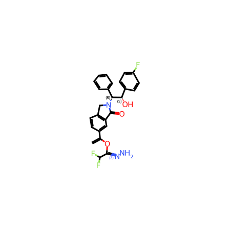 C=C(O/C(=N\N)C(F)F)c1ccc2c(c1)C(=O)N([C@H](c1ccccc1)[C@@H](O)c1ccc(F)cc1)C2